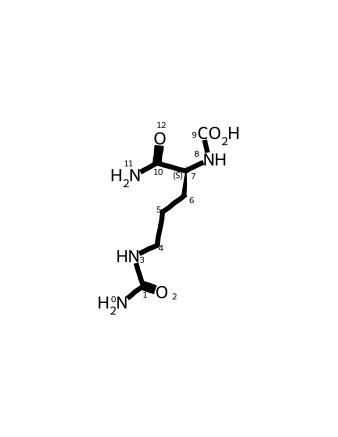 NC(=O)NCCC[C@H](NC(=O)O)C(N)=O